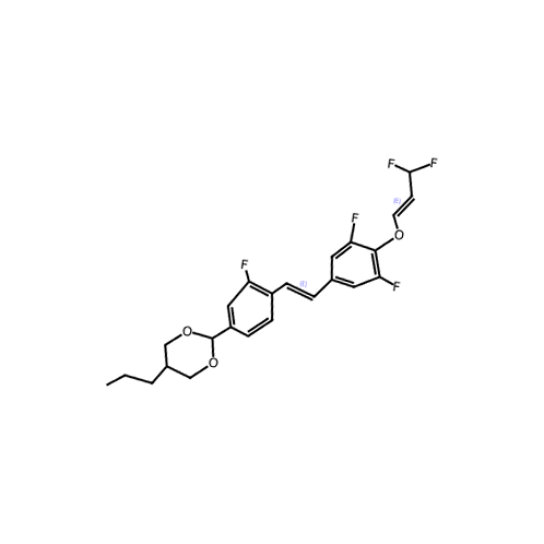 CCCC1COC(c2ccc(/C=C/c3cc(F)c(O/C=C/C(F)F)c(F)c3)c(F)c2)OC1